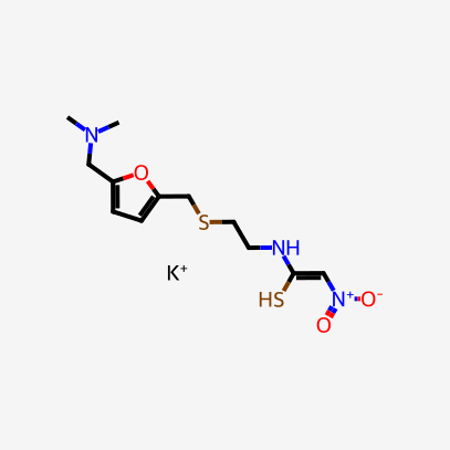 CN(C)Cc1ccc(CSCCNC(S)=C[N+](=O)[O-])o1.[K+]